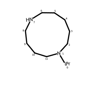 CC(C)N1CCCCCNCCCC1